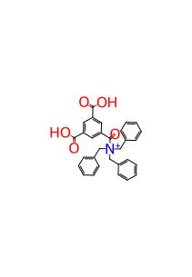 O=C(O)c1cc(C(=O)O)cc(C(=O)[N+](Cc2ccccc2)(Cc2ccccc2)Cc2ccccc2)c1